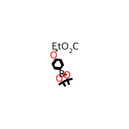 CCOC(=O)COc1ccc(B2OC(C)(C)C(C)(C)O2)cc1